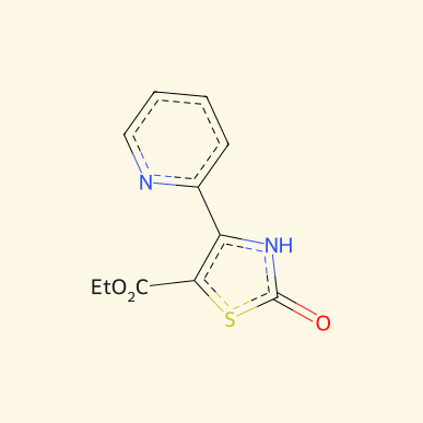 CCOC(=O)c1sc(=O)[nH]c1-c1ccccn1